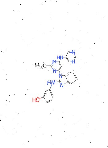 Cc1nc(Nc2cncnc2)cc(-n2c(Nc3cccc(O)c3)nc3ccccc32)n1